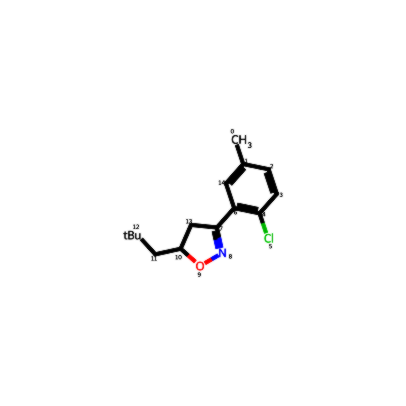 Cc1ccc(Cl)c(C2=NOC(CC(C)(C)C)C2)c1